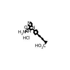 Cl.NNC(=O)c1cc(-c2ccc(C#CC#CC3CC3C(=O)O)cc2)nc2ccncc12